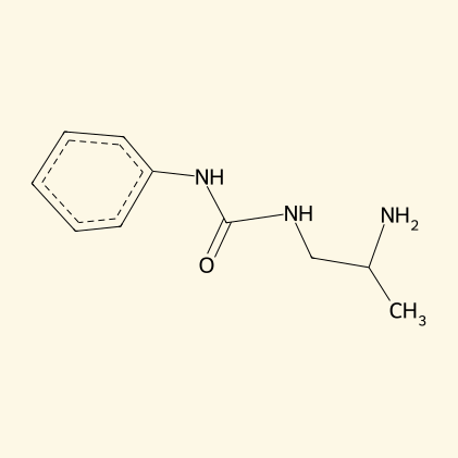 CC(N)CNC(=O)Nc1ccccc1